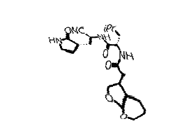 CC(C)C[C@H](NC(=O)CC1COC2OCCCC12)C(=O)N[C@H](C#N)C[C@@H]1CCNC1=O